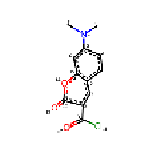 CN(C)c1ccc2cc(C(=O)Cl)c(=O)oc2c1